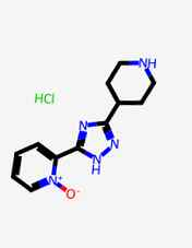 Cl.[O-][n+]1ccccc1-c1nc(C2CCNCC2)n[nH]1